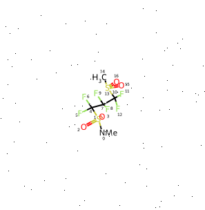 CNS(=O)(=O)C(F)(F)C(F)(F)C(F)(F)S(C)(=O)=O